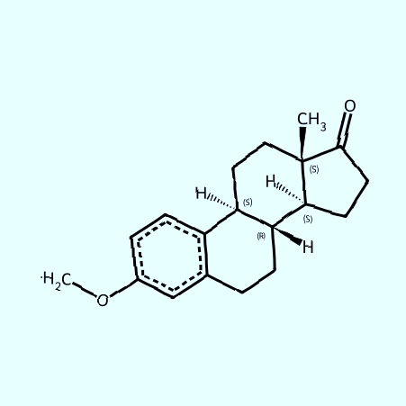 [CH2]Oc1ccc2c(c1)CC[C@@H]1[C@@H]2CC[C@]2(C)C(=O)CC[C@@H]12